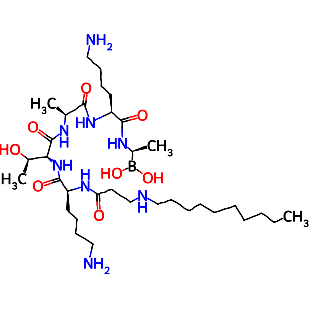 CCCCCCCCCCNCCC(=O)N[C@@H](CCCCN)C(=O)N[C@H](C(=O)N[C@@H](C)C(=O)N[C@@H](CCCCN)C(=O)N[C@@H](C)B(O)O)[C@@H](C)O